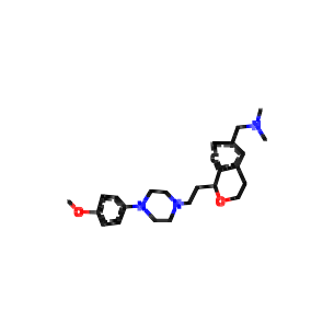 COc1ccc(N2CCN(CCC3OCCc4cc(CN(C)C)ccc43)CC2)cc1